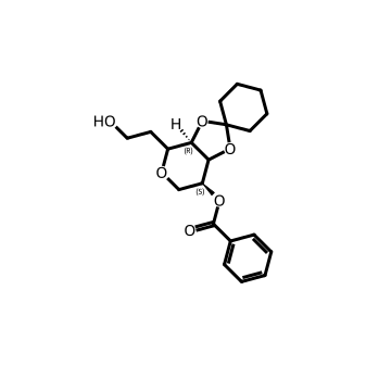 O=C(O[C@H]1COC(CCO)[C@H]2OC3(CCCCC3)OC21)c1ccccc1